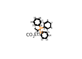 CCOC(=O)C(C)[PH](C1=CCCC=C1)(c1ccccc1)c1ccccc1